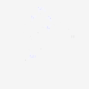 CCCCCNCc1ccc(Cn2c(CCCC)nc3c(N)nc4ccccc4c32)cc1